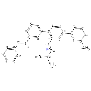 CC1C=C(c2ccc(-c3cccc(OCc4ccccc4)c3)c(/C=C/C(N)=O)c2)C=CC1